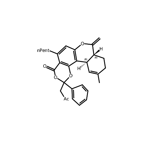 C=C1Oc2cc(CCCCC)c3c(c2[C@@H]2C=C(C)CC[C@@H]12)OC(CC(C)=O)(c1ccccc1)OC3=O